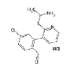 CC(N)Sc1ncccc1-c1cc(Cl)ccc1C=O.Cl